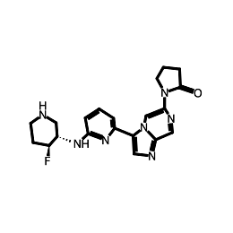 O=C1CCCN1c1cn2c(-c3cccc(N[C@H]4CNCC[C@@H]4F)n3)cnc2cn1